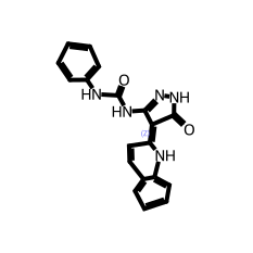 O=C(NC1=NNC(=O)/C1=C1/C=Cc2ccccc2N1)Nc1ccccc1